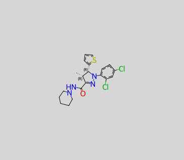 C[C@H]1C(C(=O)NN2CCCCC2)=NN(c2ccc(Cl)cc2Cl)[C@H]1c1cccs1